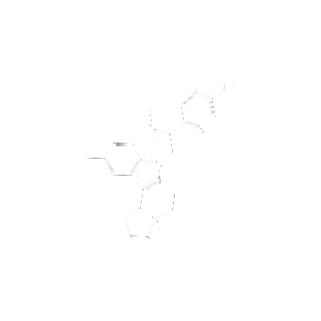 Cc1ccc2c(c1)c1c(n2CC(c2ccc(F)cc2)N(C)C)CCN2CCCC12